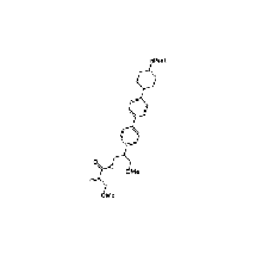 C=C(COC)C(=O)OCC(COC)c1ccc(-c2ccc(C3CCC(CCCCC)CC3)cc2)cc1